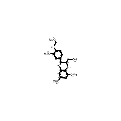 COCOc1ccc(C2Oc3cc(C=O)cc(OC)c3OC2CO)cc1OC